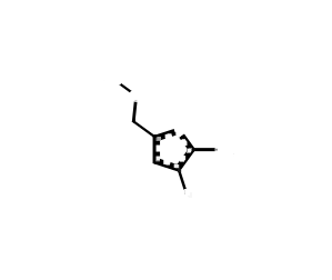 Cc1sc(COC=O)cc1N